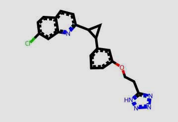 Clc1ccc2ccc(C3CC3c3cccc(OCCc4nnn[nH]4)c3)nc2c1